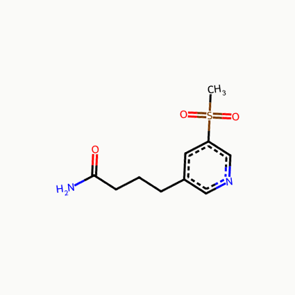 CS(=O)(=O)c1cncc(CCCC(N)=O)c1